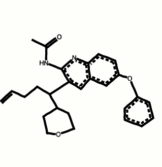 C=CCCC(c1cc2cc(Oc3ccccc3)ccc2nc1NC(C)=O)C1CCOCC1